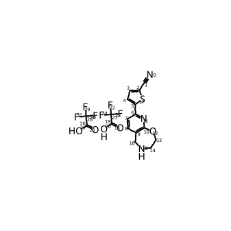 N#Cc1ccc(-c2ccc3c(n2)OCCNC3)s1.O=C(O)C(F)(F)F.O=C(O)C(F)(F)F